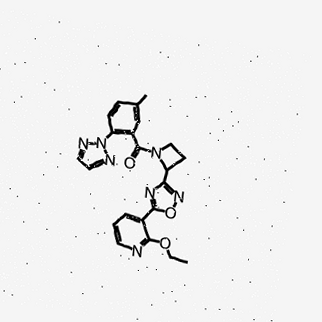 CCOc1ncccc1-c1nc(C2CCN2C(=O)c2cc(C)ccc2-n2nccn2)no1